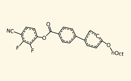 CCCCCCCCOc1ccc(-c2ccc(C(=O)Oc3ccc(C#N)c(F)c3F)cc2)cc1